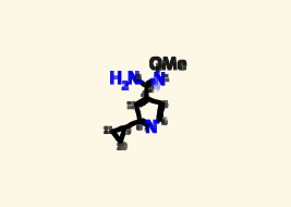 CO/N=C(\N)c1ccnc(C2CC2)c1